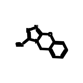 CC(C)(C)c1nnc2n1Cc1ccccc1O2